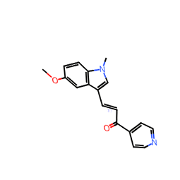 COc1ccc2c(c1)c(/C=C/C(=O)c1ccncc1)cn2C